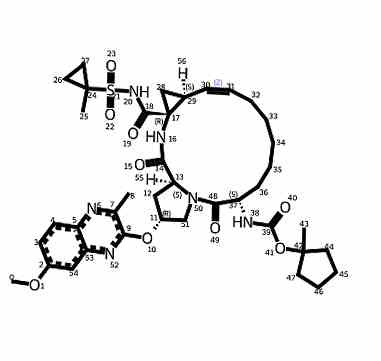 COc1ccc2nc(C)c(O[C@@H]3C[C@H]4C(=O)N[C@]5(C(=O)NS(=O)(=O)C6(C)CC6)C[C@H]5/C=C\CCCCC[C@H](NC(=O)OC5(C)CCCC5)C(=O)N4C3)nc2c1